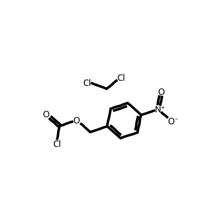 ClCCl.O=C(Cl)OCc1ccc([N+](=O)[O-])cc1